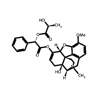 COc1ccc2c3c1O[C@H]1C(OC(=O)[C@@H](OC(=O)[C@H](C)O)c4ccccc4)=CC[C@@]4(O)[C@@H](C2)N(C)CC[C@]314